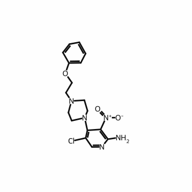 Nc1ncc(Cl)c(N2CCN(CCOc3ccccc3)CC2)c1[N+](=O)[O-]